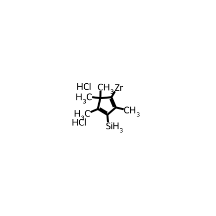 CC1=[C]([Zr])C(C)(C)C(C)=C1[SiH3].Cl.Cl